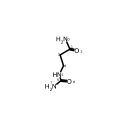 NC(=O)CCNC(N)=O